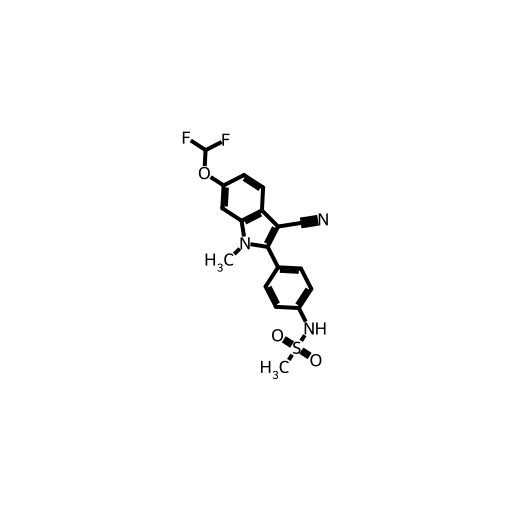 Cn1c(-c2ccc(NS(C)(=O)=O)cc2)c(C#N)c2ccc(OC(F)F)cc21